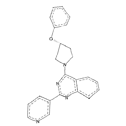 c1ccc(O[C@@H]2CCN(c3nc(-c4cccnc4)nc4ccccc34)C2)cc1